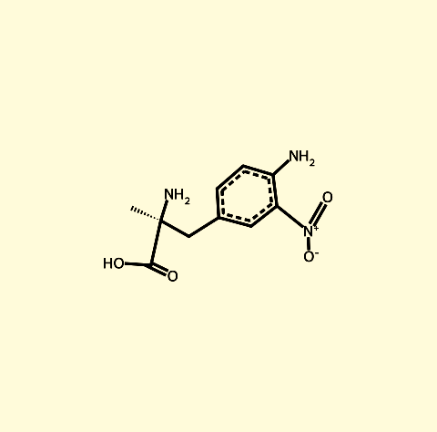 C[C@](N)(Cc1ccc(N)c([N+](=O)[O-])c1)C(=O)O